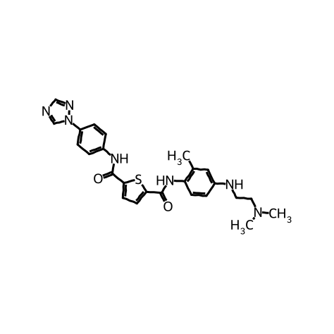 Cc1cc(NCCN(C)C)ccc1NC(=O)c1ccc(C(=O)Nc2ccc(-n3cncn3)cc2)s1